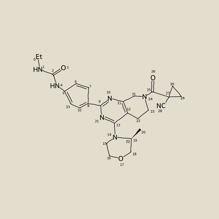 CCNC(=O)Nc1ccc(-c2nc3c(c(N4CCOC[C@@H]4C)n2)CCN(C(=O)C2(C#N)CC2)C3)cc1